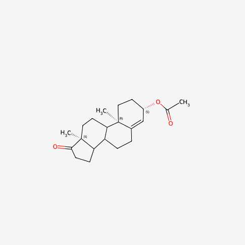 CC(=O)O[C@@H]1C=C2CCC3C(CC[C@]4(C)C(=O)CCC34)[C@@]2(C)CC1